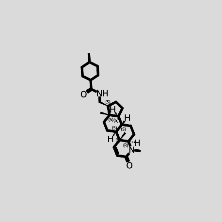 CC1CCC(C(=O)NC[C@H]2CC[C@H]3[C@@H]4CC[C@H]5N(C)C(=O)C=C[C@]5(C)[C@H]4CC[C@]23C)CC1